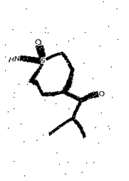 CC(C)C(=O)C1CCS(=N)(=O)CC1